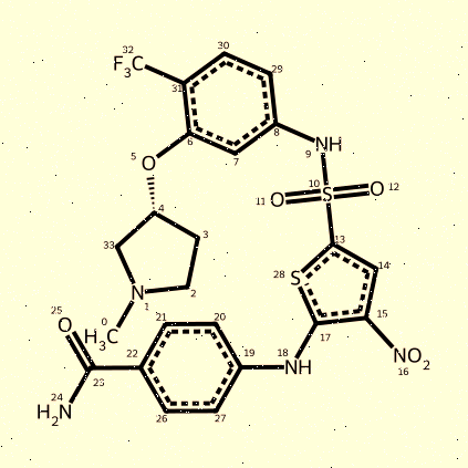 CN1CC[C@@H](Oc2cc(NS(=O)(=O)c3cc([N+](=O)[O-])c(Nc4ccc(C(N)=O)cc4)s3)ccc2C(F)(F)F)C1